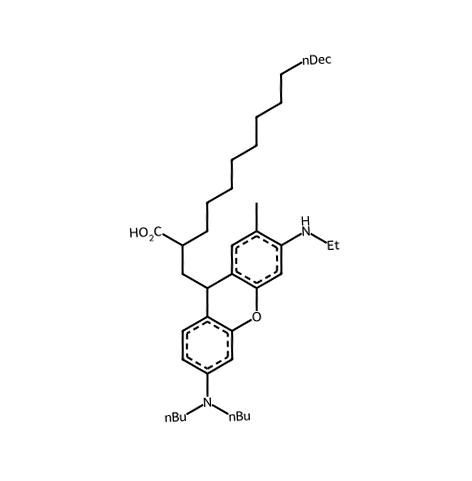 CCCCCCCCCCCCCCCCCCC(CC1c2ccc(N(CCCC)CCCC)cc2Oc2cc(NCC)c(C)cc21)C(=O)O